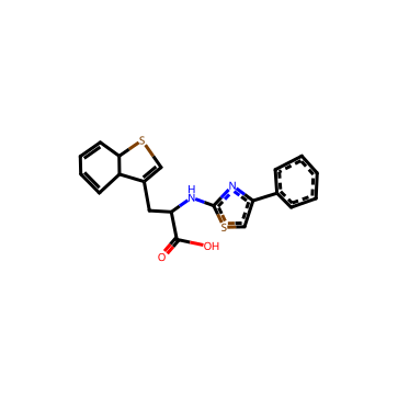 O=C(O)C(CC1=CSC2C=CC=CC12)Nc1nc(-c2ccccc2)cs1